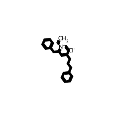 C=C[n+]1ccc(CCCc2ccccc2)cc1Cc1ccccc1.[Cl-]